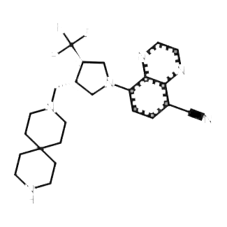 N#Cc1ccc(N2C[C@H](CN3CCC4(CCNCC4)CC3)[C@@H](C(F)(F)F)C2)c2nccnc12